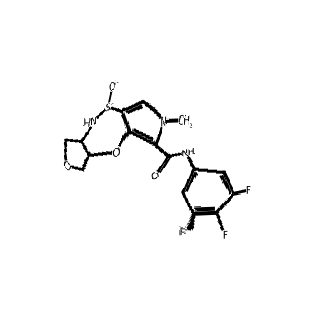 Cn1cc2c(c1C(=O)Nc1cc(F)c(F)c(F)c1)OC1COCC1N[S+]2[O-]